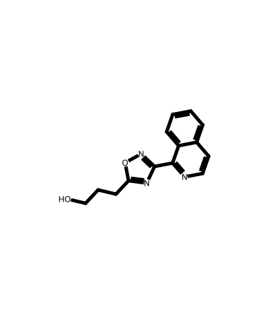 OCCCc1nc(-c2nccc3ccccc23)no1